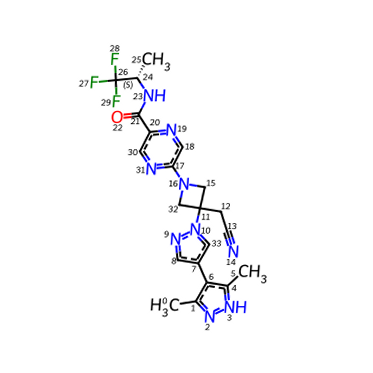 Cc1n[nH]c(C)c1-c1cnn(C2(CC#N)CN(c3cnc(C(=O)N[C@@H](C)C(F)(F)F)cn3)C2)c1